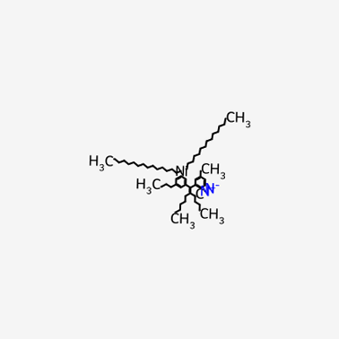 CCCCCCC(C(=C=[N+]=[N-])CCCC)=C(c1cccc(CC)c1)c1cccc(CCCC)c1.CCCCCCCCCCCCCC[CH2][Ni][CH2]CCCCCCCCCCCCCC